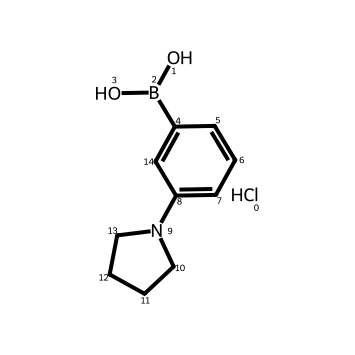 Cl.OB(O)c1cccc(N2CCCC2)c1